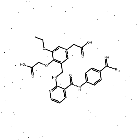 CCOc1cc(CC(=O)O)cc(CNc2ncccc2C(=O)Nc2ccc(C(=N)N)cc2)c1OCC(=O)O